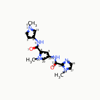 Cn1ccc(NC(=O)c2cc(NC(=O)c3nccn3C)cn2C)c1